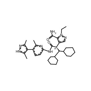 CCn1ncc([C@H](C(=O)Nc2ccc(-c3c(C)n[nH]c3C)c(C)n2)C(C2CCCCC2)C2CCCCC2)c1C(N)=O